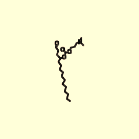 CCCCCCCCCCCCC(CCC=O)OC(=O)OCCCN(C)C